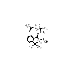 CC(=O)OOC(C)(C)C.CC(C)(C)c1ccccc1C(=O)OOO